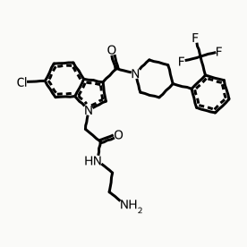 NCCNC(=O)Cn1cc(C(=O)N2CCC(c3ccccc3C(F)(F)F)CC2)c2ccc(Cl)cc21